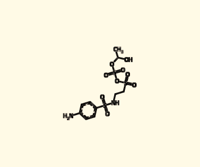 CC(O)OS(=O)(=O)OS(=O)(=O)CCNS(=O)(=O)c1ccc(N)cc1